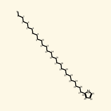 CCCCCCCCCCCCCCCCCCCCCCCCCCCCC1=CC=C[N]1